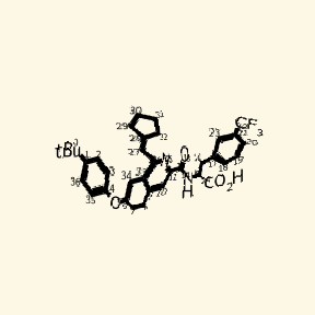 CC(C)(C)c1ccc(Oc2ccc3cc(C(=O)N[C@@H](Cc4cccc(C(F)(F)F)c4)C(=O)O)nc(CC4CCCC4)c3c2)cc1